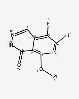 CC(C)Oc1nc(Cl)c(F)c2cn[nH]c(=O)c12